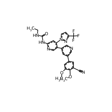 CCNC(=O)Nc1cc(-n2ccc(C(F)(F)F)n2)c(-c2cncc(-c3cc(C#N)c(OC)c(OC)c3)c2)cn1